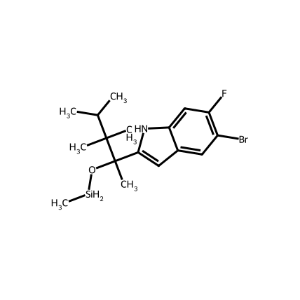 C[SiH2]OC(C)(c1cc2cc(Br)c(F)cc2[nH]1)C(C)(C)C(C)C